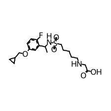 CC(NS(=O)(=O)CCCCCNCC(=O)O)c1cc(OCC2CC2)ccc1F